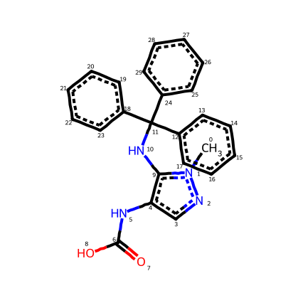 Cn1ncc(NC(=O)O)c1NC(c1ccccc1)(c1ccccc1)c1ccccc1